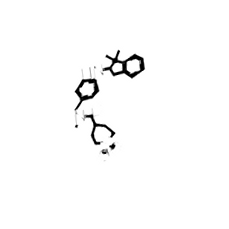 C[C@H](c1ccc(NC2Cc3ccccc3C2(C)C)cc1)N(C)C(=O)C1CCS(=O)(=O)CC1